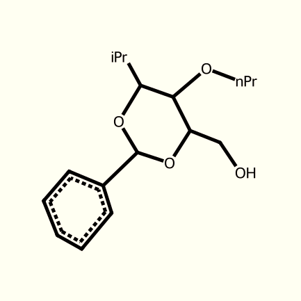 CCCOC1C(CO)OC(c2ccccc2)OC1C(C)C